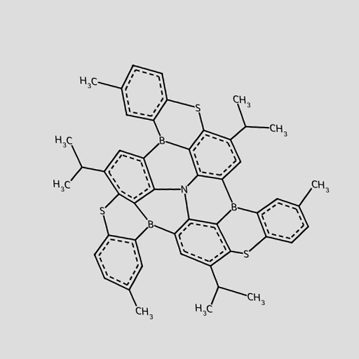 Cc1ccc2c(c1)B1c3cc(C(C)C)c4c5c3N3c6c(cc(C(C)C)c(c61)S2)B1c2cc(C)ccc2Sc2c(C(C)C)cc(c3c21)B5c1cc(C)ccc1S4